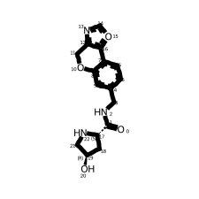 O=C(NCc1ccc2c(c1)OCc1ncoc1-2)[C@@H]1C[C@@H](O)CN1